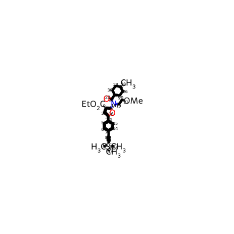 CCOC(=O)c1cc(-c2ccc(C#C[Si](C)(C)C)cc2)oc1N(CCOC)C(=O)C1CCC(C)CC1